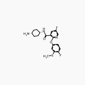 CSc1cc(Oc2ncc(F)cc2C(=O)N[C@H]2CC[C@@H](N)CC2)ccc1F